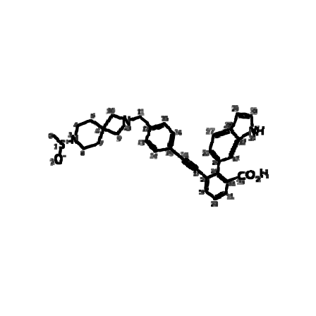 C[S+]([O-])N1CCC2(CC1)CN(Cc1ccc(C#Cc3cccc(C(=O)O)c3-c3ccc4cc[nH]c4c3)cc1)C2